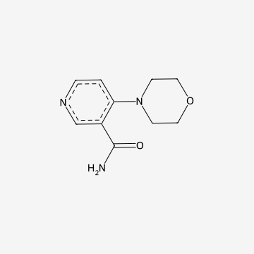 NC(=O)c1cnccc1N1CCOCC1